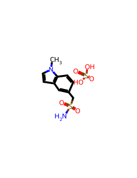 Cn1ccc2cc(CS(N)(=O)=O)ccc21.O=S(=O)(O)O